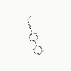 CCC#Cc1ccc(-c2cccnc2)cc1